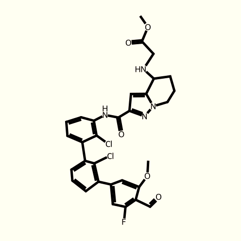 COC(=O)CNC1CCCn2nc(C(=O)Nc3cccc(-c4cccc(-c5cc(F)c(C=O)c(OC)c5)c4Cl)c3Cl)cc21